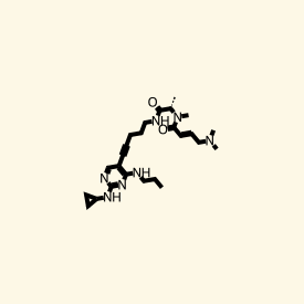 CCCNc1nc(NC2CC2)ncc1C#CCCCNC(=O)[C@H](C)N(C)C(=O)/C=C/CN(C)C